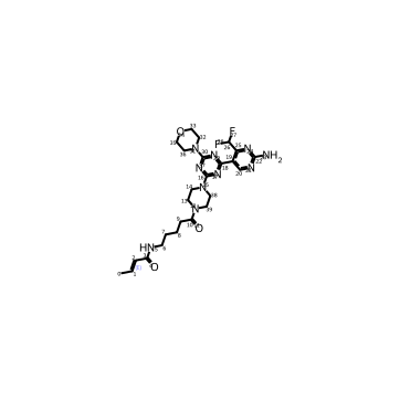 C/C=C/C(=O)NCCCCC(=O)N1CCN(c2nc(-c3cnc(N)nc3C(F)F)nc(N3CCOCC3)n2)CC1